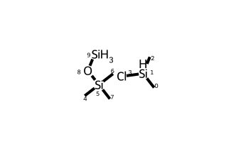 C[SiH](C)Cl.C[Si](C)(C)O[SiH3]